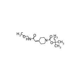 COCNC(=O)C=C1CCN(C(=O)OC(C)(C)C)CC1